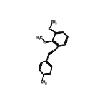 COc1cccc(C=Cc2ccc(C)cc2)c1OC